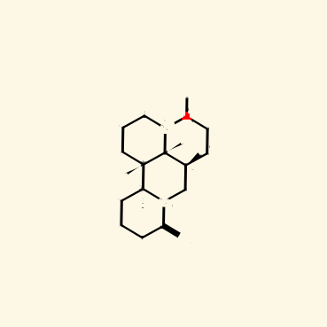 O=C1CCC[C@H]2[C@@H]3CCC[N+]4(CO)CCC[C@H](CN12)[C@H]34